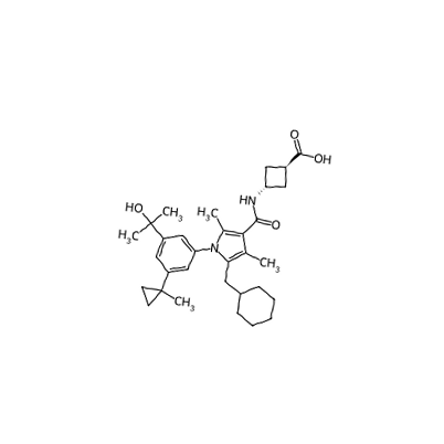 Cc1c(C(=O)N[C@H]2C[C@H](C(=O)O)C2)c(C)n(-c2cc(C(C)(C)O)cc(C3(C)CC3)c2)c1CC1CCCCC1